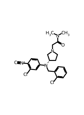 [C-]#[N+]c1ccc(N(Cc2ccccc2Cl)[C@H]2CCN(CC(=O)N(C)C)C2)cc1Cl